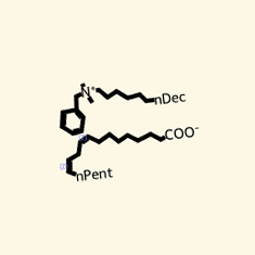 CCCCC/C=C\C/C=C\CCCCCCCC(=O)[O-].CCCCCCCCCCCCCCCC[N+](C)(C)Cc1ccccc1